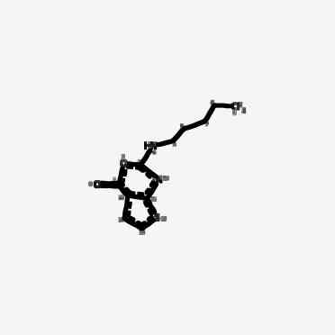 O=c1oc(NCCCCC(F)(F)F)nc2sccc12